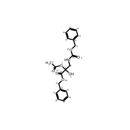 CC(=O)OC(O)(CNC(=O)OCc1ccccc1)C(=O)OCc1ccccc1